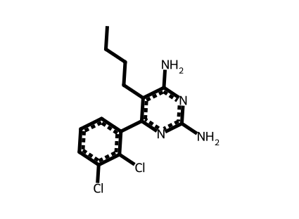 CCCCc1c(N)nc(N)nc1-c1cccc(Cl)c1Cl